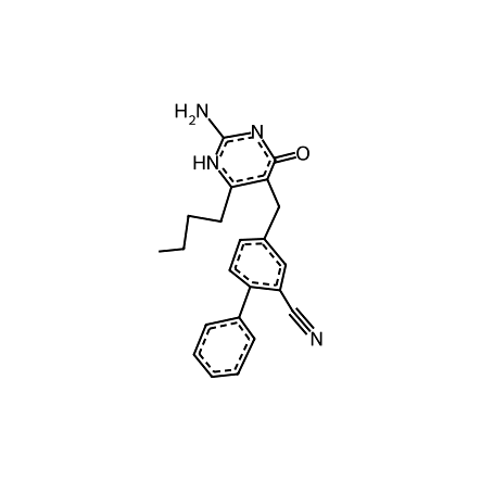 CCCCc1[nH]c(N)nc(=O)c1Cc1ccc(-c2ccccc2)c(C#N)c1